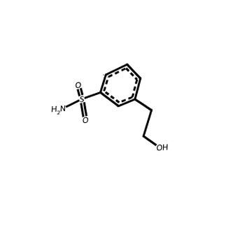 NS(=O)(=O)c1[c]ccc(CCO)c1